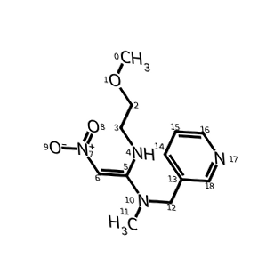 COCCNC(=C[N+](=O)[O-])N(C)Cc1cccnc1